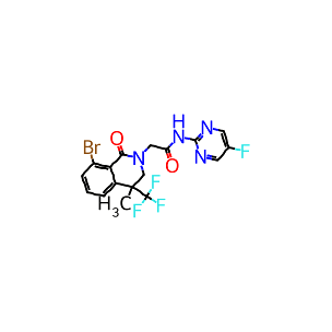 CC1(C(F)(F)F)CN(CC(=O)Nc2ncc(F)cn2)C(=O)c2c(Br)cccc21